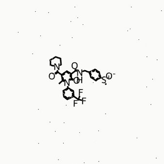 Cc1c(C(=O)N2CCCCC2)cc(C(=O)NCc2ccc([S+](C)[O-])cc2)c(=O)n1-c1cccc(C(F)(F)F)c1